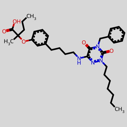 CCCCCCCn1nc(NCCCCc2cccc(OC(C)(CCC)C(=O)O)c2)c(=O)n(Cc2ccccc2)c1=O